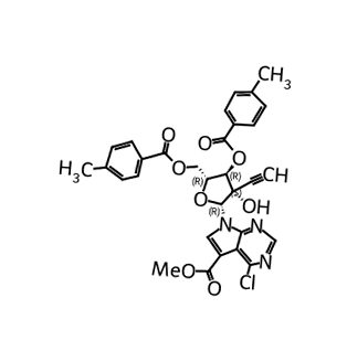 C#C[C@]1(O)[C@H](OC(=O)c2ccc(C)cc2)[C@@H](COC(=O)c2ccc(C)cc2)O[C@H]1n1cc(C(=O)OC)c2c(Cl)ncnc21